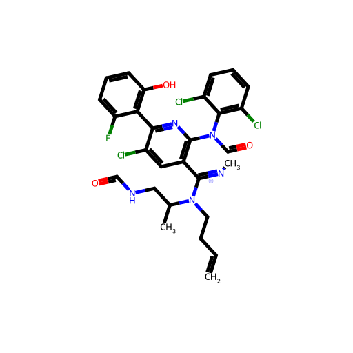 C=CCCN(/C(=N/C)c1cc(Cl)c(-c2c(O)cccc2F)nc1N(C=O)c1c(Cl)cccc1Cl)C(C)CNC=O